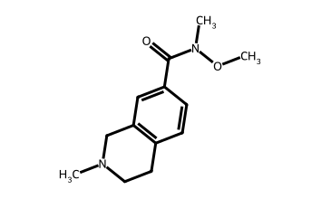 CON(C)C(=O)c1ccc2c(c1)CN(C)CC2